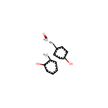 C=O.CC(C)(C)c1ccc(O)cc1.Cc1ccccc1O